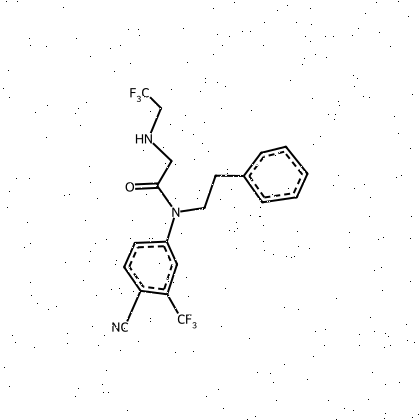 N#Cc1ccc(N(CCc2ccccc2)C(=O)CNCC(F)(F)F)cc1C(F)(F)F